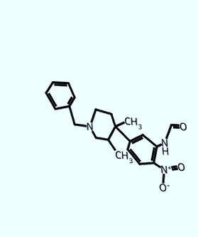 CC1CN(Cc2ccccc2)CCC1(C)c1ccc([N+](=O)[O-])c(NC=O)c1